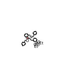 CCOP(=O)(OCC)c1cccc(CC(C(=O)OCc2ccccc2)N(Cc2ccccc2)Cc2ccccc2)c1